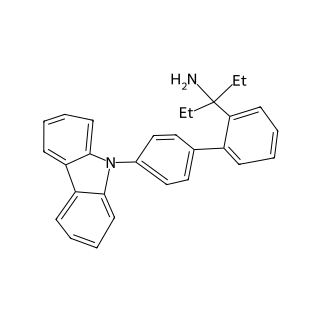 CCC(N)(CC)c1ccccc1-c1ccc(-n2c3ccccc3c3ccccc32)cc1